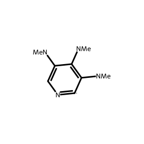 CNc1[c]ncc(NC)c1NC